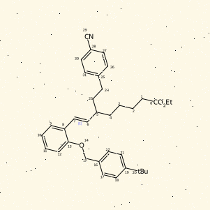 CCOC(=O)CCCCC(/C=C/c1ccccc1OCc1ccc(C(C)(C)C)cc1)CCc1ccc(C#N)cc1